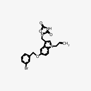 C=CCn1cc(Cn2oc(=O)[nH]c2=O)c2cc(OCc3cccc(Br)c3)ccc21